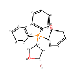 O=C1CC=CC=C1[P+](c1ccccc1)(c1ccccc1)C1CCOC1.[Br-]